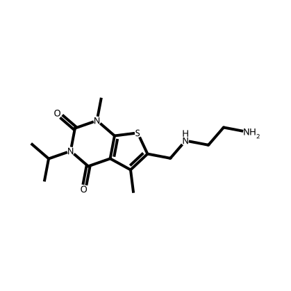 Cc1c(CNCCN)sc2c1c(=O)n(C(C)C)c(=O)n2C